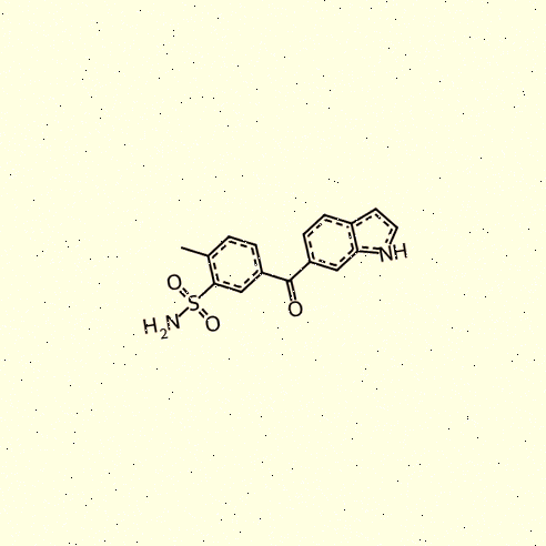 Cc1ccc(C(=O)c2ccc3cc[nH]c3c2)cc1S(N)(=O)=O